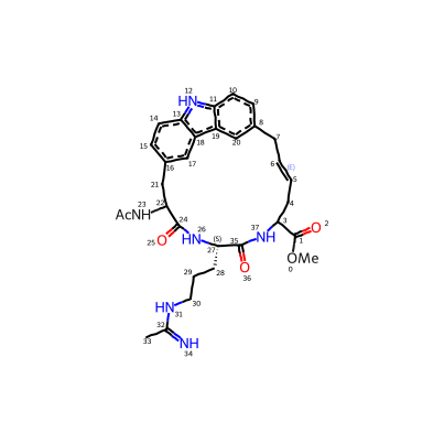 COC(=O)C1C/C=C/Cc2ccc3[nH]c4ccc(cc4c3c2)CC(NC(C)=O)C(=O)N[C@@H](CCCNC(C)=N)C(=O)N1